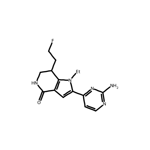 CCn1c(-c2ccnc(N)n2)cc2c1C(CCF)CNC2=O